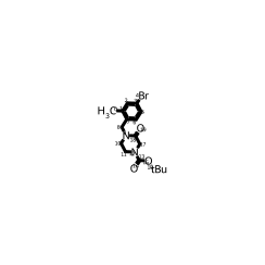 Cc1cc(Br)ccc1CN1CCN(C(=O)OC(C)(C)C)CC1=O